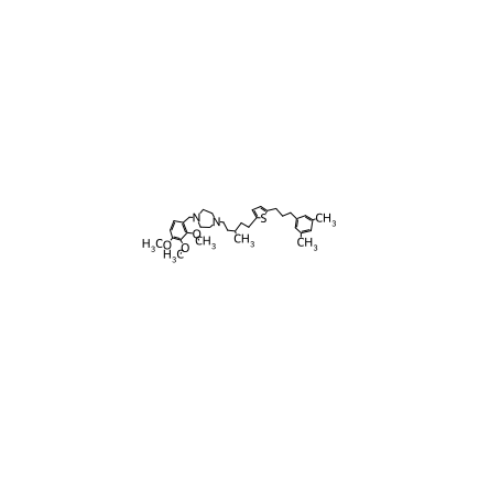 COc1ccc(CN2CCN(CCC(C)CCc3ccc(CCCc4cc(C)cc(C)c4)s3)CC2)c(OC)c1OC